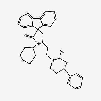 CC(=O)C1CN(c2ccccc2)CCN1CCCCC1(C(=O)NC2CCCCC2)c2ccccc2-c2ccccc21